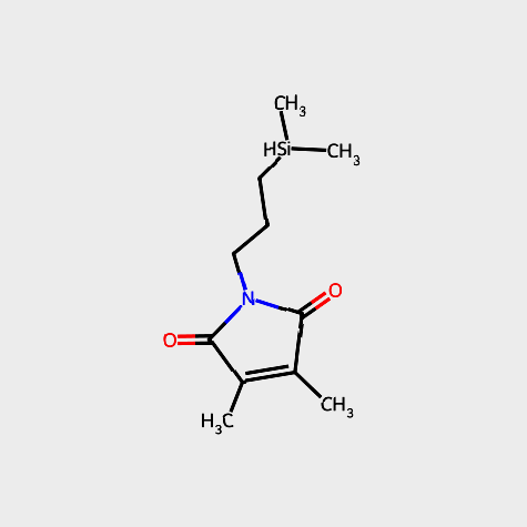 CC1=C(C)C(=O)N(CCC[SiH](C)C)C1=O